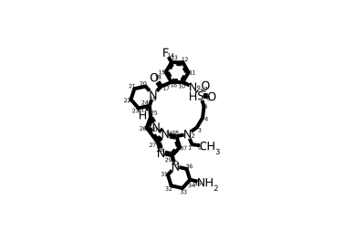 CCN1CCCS(=O)(=O)Nc2ccc(F)cc2C(=O)N2CCCC[C@H]2c2cc3nc(N4CCCC(N)C4)cc1n3n2